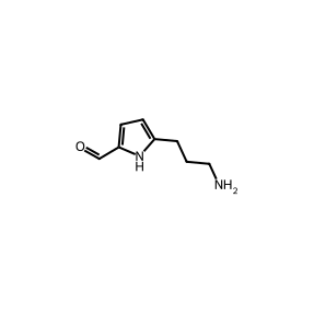 NCCCc1ccc(C=O)[nH]1